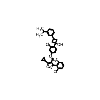 Cc1cccc(Cl)c1-c1noc(C2CC2)c1COc1ccc(C2(O)CC(c3cccc(C(C)C)c3)C2)c(Cl)c1